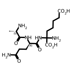 C[C@H](N)C(=O)N[C@H](CCC(N)=O)C(=O)NC(N)(CCCCC(=O)O)C(=O)O